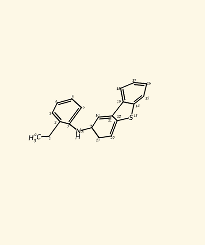 CCc1ccccc1NC1C=c2c(sc3ccccc23)=CC1